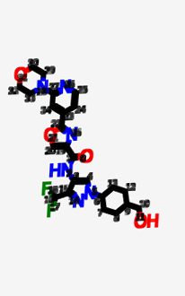 O=C(Nc1cn(C2CCC(CO)CC2)nc1C(F)F)c1coc(-c2ccnc(N3CCOCC3)c2)n1